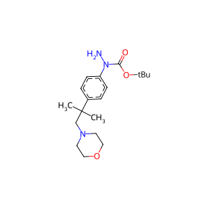 CC(C)(C)OC(=O)N(N)c1ccc(C(C)(C)CN2CCOCC2)cc1